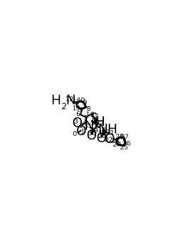 COC(=O)C1C(Cc2cccc(N)c2)CS[C@@H]2C(NC(=O)COc3ccccc3)C(=O)N12